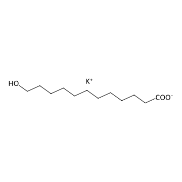 O=C([O-])CCCCCCCCCCCO.[K+]